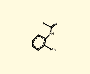 Nc1ccccc1NC(=O)I